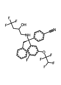 N#Cc1ccc([C@@](Cc2ccccc2)(NCC(O)CC(F)(F)F)c2cc(F)cc(OC(F)(F)C(F)F)c2)cc1